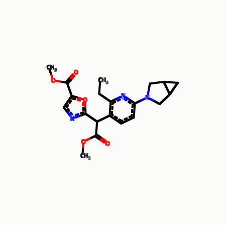 CCc1nc(N2CC3CC3C2)ccc1C(C(=O)OC)c1ncc(C(=O)OC)o1